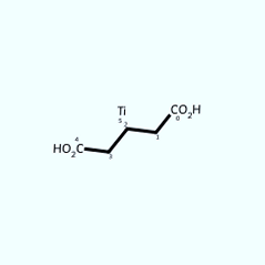 O=C(O)CCCC(=O)O.[Ti]